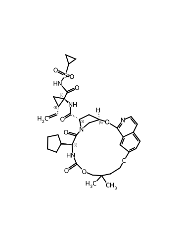 C=C[C@@H]1C[C@]1(NC(=O)[C@@H]1C[C@@H]2CN1C(=O)[C@H](C1CCCC1)NC(=O)OCC(C)(C)CCCc1ccc3ccnc(c3c1)O2)C(=O)NS(=O)(=O)C1CC1